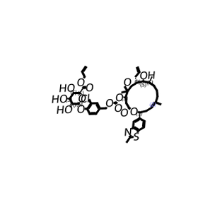 C=CCOC(=O)[C@H]1O[C@@H](Oc2ccc(COC(=O)O[C@H]3CC(=O)O[C@H](c4ccc5sc(C)nc5c4)C/C=C(/C)CCC[C@H](C)[C@H](O)[C@@H](CC=C)C(=O)C3(C)C)cc2Cl)[C@H](O)[C@@H](O)[C@@H]1O